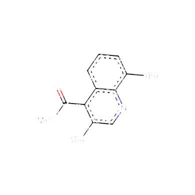 COC(=O)c1c(C(C)(C)C)cnc2c(C(C)(C)C)cccc12